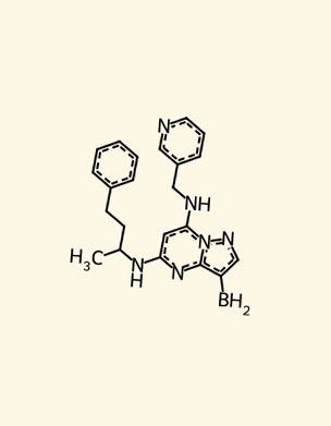 Bc1cnn2c(NCc3cccnc3)cc(NC(C)CCc3ccccc3)nc12